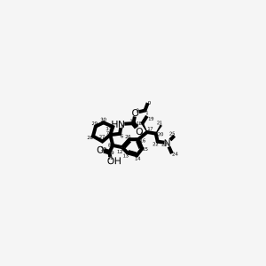 CCOC(=O)NCC1(C(C(=O)O)c2cccc([C@@H](CC)[C@@H](C)CN(C)C)c2)CCCCC1